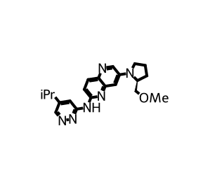 COC[C@@H]1CCCN1c1cnc2ccc(Nc3cc(C(C)C)cnn3)nc2c1